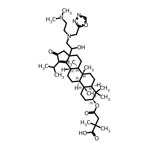 CC(C)C1=C2[C@H]3CC[C@@H]4[C@@]5(C)CC[C@H](OC(=O)CC(C)(C)C(=O)O)C(C)(C)[C@@H]5CC[C@@]4(C)[C@]3(C)CCC2(C(O)CN(CCN(C)C)Cc2nnco2)CC1=O